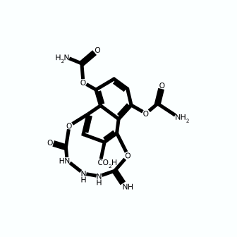 N=c1[nH][nH][nH]c(=O)oc2cc(C(=O)O)c(o1)c1c(OC(N)=O)ccc(OC(N)=O)c21